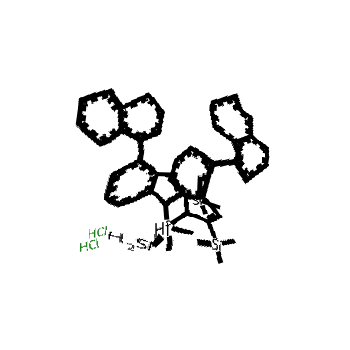 C[Si](C)(C)C1=Cc2c(-c3cccc4ccccc34)cccc2[CH]1[Hf]([CH3])([CH3])(=[SiH2])[CH]1C([Si](C)(C)C)=Cc2c(-c3cccc4ccccc34)cccc21.Cl.Cl